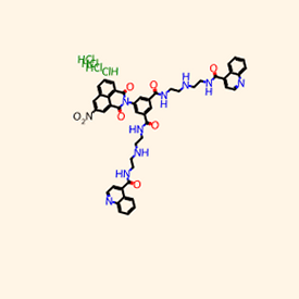 Cl.Cl.Cl.Cl.O=C(NCCNCCNC(=O)c1ccnc2ccccc12)c1cc(C(=O)NCCNCCNC(=O)c2ccnc3ccccc23)cc(N2C(=O)c3cccc4cc([N+](=O)[O-])cc(c34)C2=O)c1